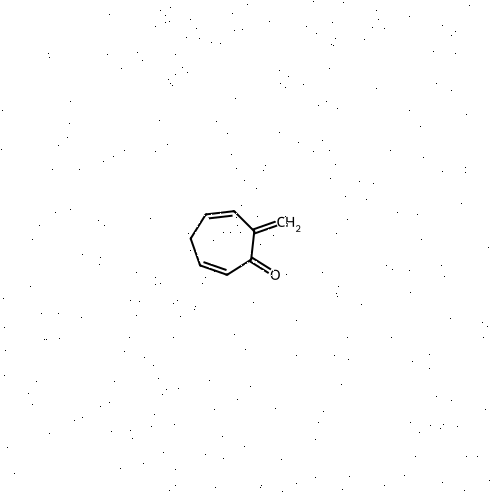 C=C1C=CCC=CC1=O